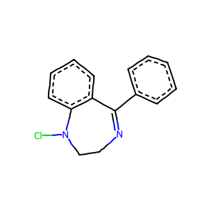 ClN1CCN=C(c2ccccc2)c2ccccc21